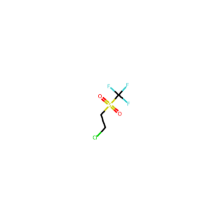 O=S(=O)(CCCl)C(F)(F)F